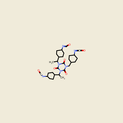 CC(C1CCC(N=C=O)CC1)n1c(=O)n(CC2CCC(N=C=O)CC2)c(=O)n(C(C)C2CCC(N=C=O)CC2)c1=O